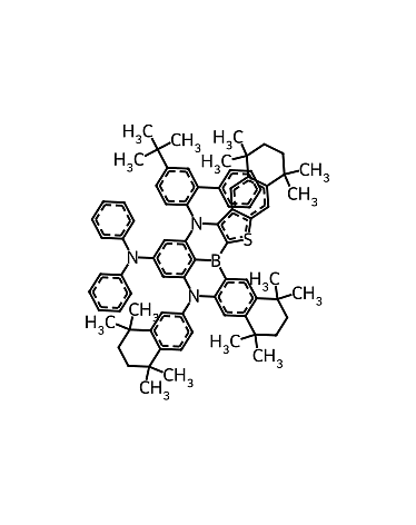 CC(C)(C)c1ccc(N2c3cc(N(c4ccccc4)c4ccccc4)cc4c3B(c3cc5c(cc3N4c3ccc4c(c3)C(C)(C)CCC4(C)C)C(C)(C)CCC5(C)C)c3sc4cc5c(cc4c32)C(C)(C)CCC5(C)C)c(-c2ccccc2)c1